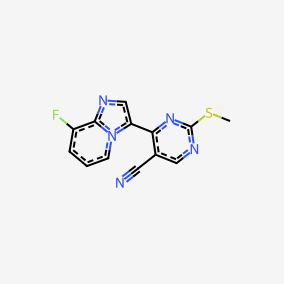 CSc1ncc(C#N)c(-c2cnc3c(F)cccn23)n1